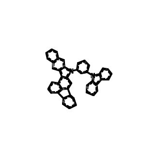 c1cc(-n2c3ccccc3c3ccccc32)cc(-n2c3cc4ccccc4cc3c3c4cccc5c4c(cc32)-c2ccccc2-5)c1